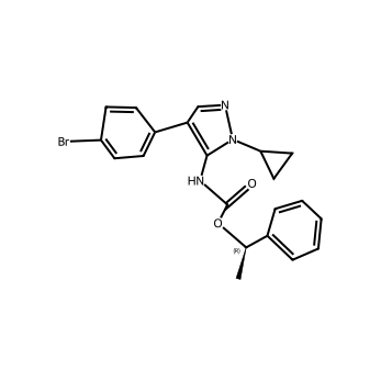 C[C@@H](OC(=O)Nc1c(-c2ccc(Br)cc2)cnn1C1CC1)c1ccccc1